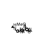 COCOc1cc2nc(C)oc2cc1-c1cnc(N2CCC(CNC3CC3)C2)nn1